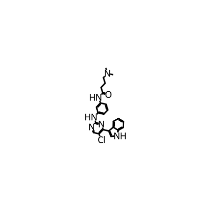 CN(C)CCCC(=O)Nc1cccc(Nc2ncc(Cl)c(-c3c[nH]c4ccccc34)n2)c1